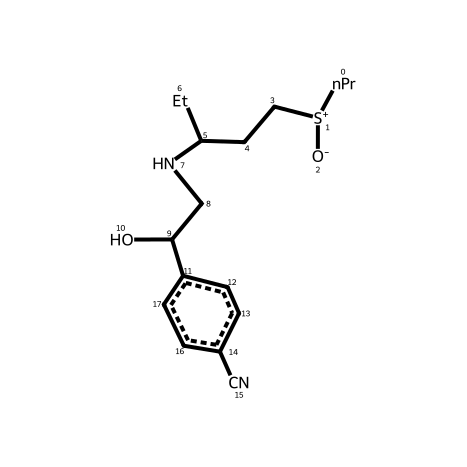 CCC[S+]([O-])CCC(CC)NCC(O)c1ccc(C#N)cc1